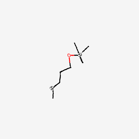 C[Si]CCCO[Si](C)(C)C